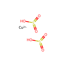 O=[S-](=O)O.O=[S-](=O)O.[Cu+2]